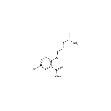 COC(=O)c1cc(Br)cnc1OCCCC(C)N